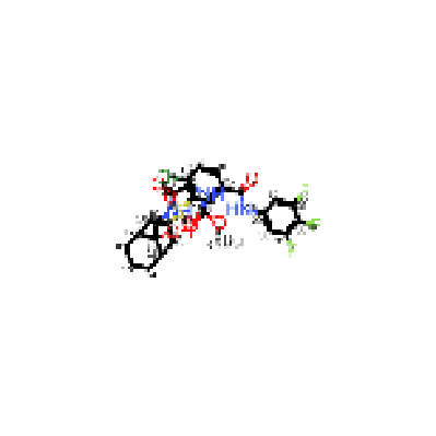 C[C@H](NC(=O)OC(C)(C)C)C(=O)NC[C@]1(O)C2CCCC1C[C@@H](S(=O)(=O)c1cc(C(=O)Nc3cc(F)c(F)c(F)c3)ccc1Cl)C2